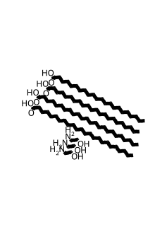 CCCCCCCCCCCCCCCCCCCCCC(=O)O.CCCCCCCCCCCCCCCCCCCCCC(=O)O.CCCCCCCCCCCCCCCCCCCCCCCC(=O)O.CCCCCCCCCCCCCCCCCCCCCCCC(=O)O.NCCO.NCCO.NCCO